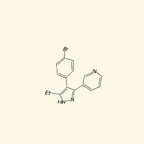 CCc1[nH]nc(-c2cccnc2)c1-c1ccc(Br)cc1